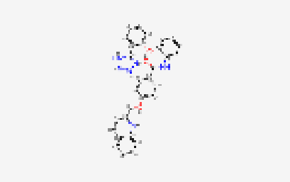 O=C(Nc1ccccc1Oc1ccccc1-c1nnn[nH]1)c1ccc(OCc2ccc3ccccc3n2)cc1